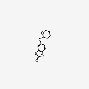 O=c1oc2ccc(OC3CCCCO3)cc2s1